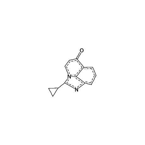 O=c1ccn2c(C3CC3)nc3cccc1c32